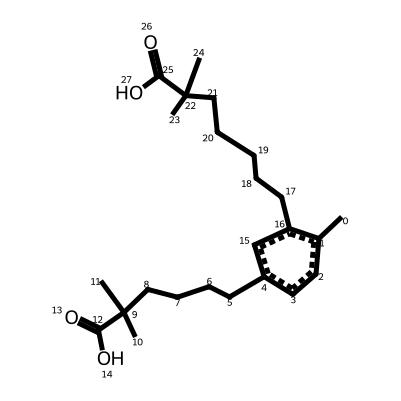 Cc1ccc(CCCCC(C)(C)C(=O)O)cc1CCCCCC(C)(C)C(=O)O